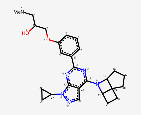 CNCC(O)COc1cccc(-c2nc(N3C4CCCC45CCC35)c3cnn(C4CC4)c3n2)c1